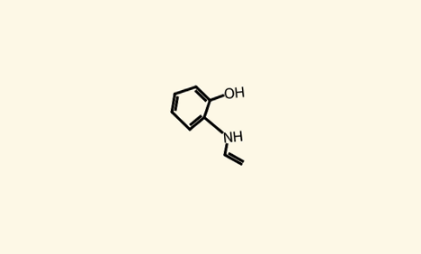 C=CNc1ccccc1O